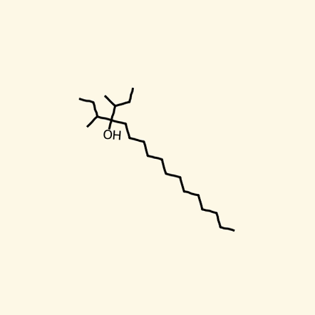 CCCCCCCCCCCCCC(O)(C(C)CC)C(C)CC